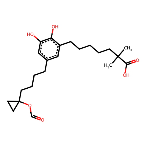 CC(C)(CCCCCc1cc(CCCCC2(OC=O)CC2)cc(O)c1O)C(=O)O